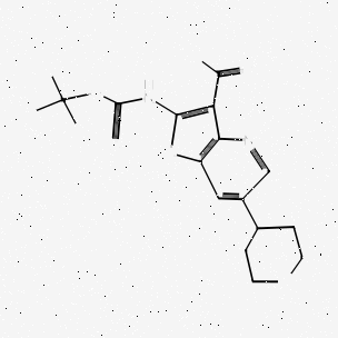 CC(C)(C)OC(=O)Nc1sc2cc(C3CCOCC3)cnc2c1C(=O)O